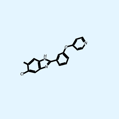 Cc1cc2[nH]c(-c3[c]ccc(Oc4ccncc4)c3)nc2cc1Cl